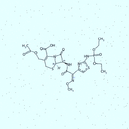 CCOP(=O)(Nc1nc(/C(=N/OC)C(=O)N[C@@H]2C(=O)N3C(C(=O)O)=C(COC(C)=O)CS[C@H]23)cs1)OCC